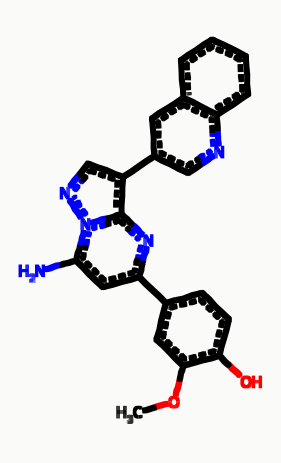 COc1cc(-c2cc(N)n3ncc(-c4cnc5ccccc5c4)c3n2)ccc1O